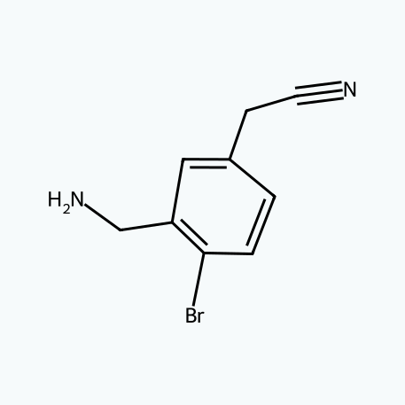 N#CCc1ccc(Br)c(CN)c1